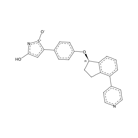 [O-][s+]1nc(O)cc1-c1ccc(O[C@@H]2CCc3c(-c4ccncc4)cccc32)cc1